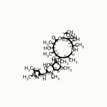 CC[C@H]1OC(=O)[C@H](C)[C@@H](O)[C@H](C)[C@@H](O[C@@H]2O[C@H](C)C[C@H](N(C)C(=O)Nc3cc(C)n(C)n3)[C@H]2O)[C@](C)(O)C[C@@H](C)CN[C@H](C)[C@@H](O)[C@]1(C)O